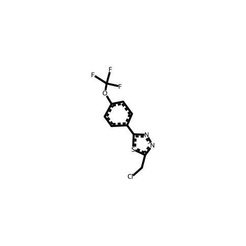 FC(F)(F)Oc1ccc(-c2nnc(CCl)s2)cc1